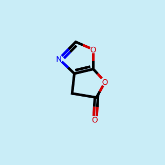 O=C1Cc2ncoc2O1